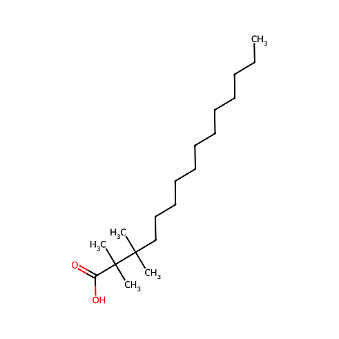 CCCCCCCCCCCCC(C)(C)C(C)(C)C(=O)O